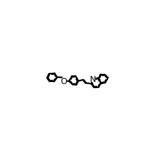 C(=Cc1ccc2ccccc2n1)c1ccc(OCc2ccccc2)cc1